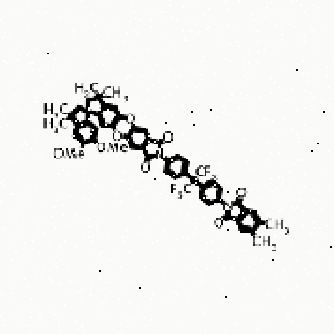 COc1cc2c(cc1OC)C1(CC2(C)C)CC(C)(C)c2cc3oc4cc5c(=O)n(-c6ccc(C(c7ccc(N8C(=O)c9cc(C)c(C)cc9C8=O)cc7)(C(F)(F)F)C(F)(F)F)cc6)c(=O)c5cc4oc3cc21